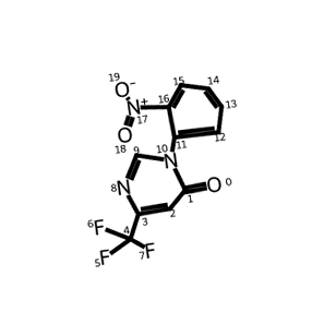 O=c1cc(C(F)(F)F)ncn1-c1ccccc1[N+](=O)[O-]